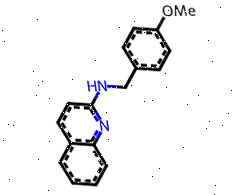 COc1ccc(CNc2ccc3ccccc3n2)cc1